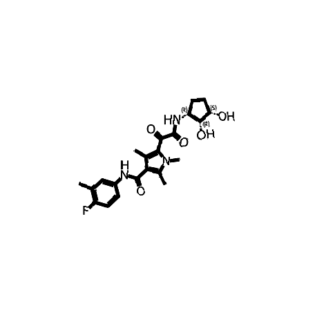 Cc1cc(NC(=O)c2c(C)c(C(=O)C(=O)N[C@@H]3CC[C@H](O)[C@@H]3O)n(C)c2C)ccc1F